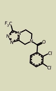 O=C(c1cccc(Cl)c1Cl)N1CCn2c(nnc2C(F)(F)F)C1